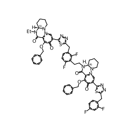 CCN1C(=O)c2c(OCc3ccccc3)c(=O)c(-c3nnc(Cc4ccc(F)c(CCN5C(=O)c6c(OCc7ccccc7)c(=O)c(-c7nnc(Cc8ccc(F)cc8F)s7)cn6N6CCCC[C@H]56)c4F)s3)cn2N2CCCC[C@@H]12